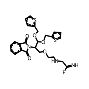 N=C(F)CNCCOCC(C(OCc1cccs1)OCc1cccs1)N1C(=O)c2ccccc2C1=O